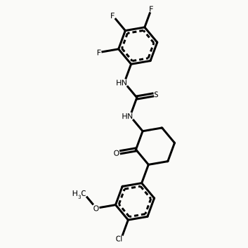 COc1cc(C2CCCC(NC(=S)Nc3ccc(F)c(F)c3F)C2=O)ccc1Cl